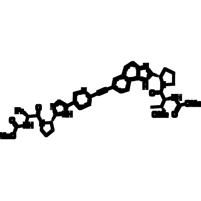 COC(=O)N[C@H](C(=O)N1CCC[C@H]1c1ncc(-c2ccc(C#Cc3ccc4c(ccc5nc([C@@H]6CCCN6C(=O)[C@@H](NC(=O)OC)[C@@H](C)OC)[nH]c54)c3)nc2)[nH]1)C(C)C